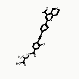 CC(=O)c1cc(-c2ccc(C#Cc3ccc(C(=O)NCC(N)C(=O)O)cc3Cl)cc2)nc2ccncc12